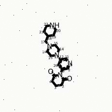 O=C1CCCC(=O)N1c1cncc(N2CCN(CC3CCNCC3)CC2)c1